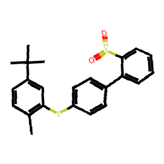 Cc1ccc(C(C)(C)C)cc1Sc1ccc(-c2ccccc2[SH](=O)=O)cc1